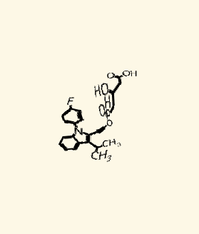 CC(C)c1c(C#CO[PH](=O)CC(O)CC(=O)O)n(-c2ccc(F)cc2)c2ccccc12